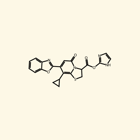 O=C(Oc1ncc[nH]1)C1CSc2c(C3CC3)c(-c3nc4ccccc4o3)cc(=O)n21